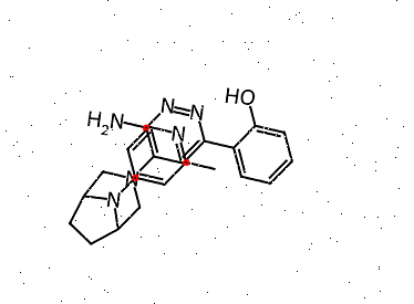 Cc1cc(N2C3CCC2CN(c2cc(-c4ccccc4O)nnc2N)C3)ccn1